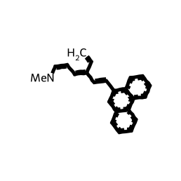 C=CC(/C=C/c1cc2ccccc2c2ccccc12)=C\C=C/NC